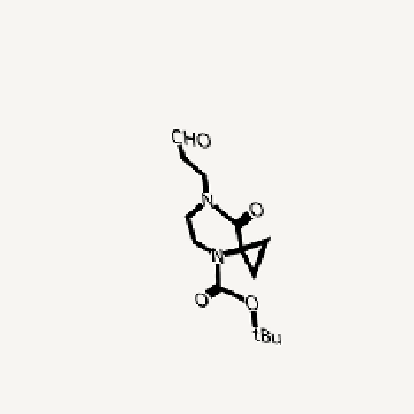 CC(C)(C)OC(=O)N1CCN(CCC=O)C(=O)C12CC2